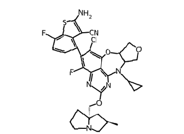 C[C@H]1CN2CCC[C@@]2(COc2nc3c4c(c(Cl)c(-c5ccc(F)c6sc(N)c(C#N)c56)c(F)c4n2)OC2COCC2N3C2CC2)C1